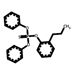 CCCc1ccccc1OP(=S)(Oc1ccccc1)Oc1ccccc1